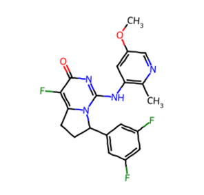 COc1cnc(C)c(Nc2nc(=O)c(F)c3n2C(c2cc(F)cc(F)c2)CC3)c1